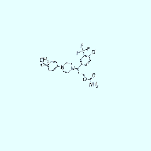 COc1ccc(N2CCN(C(CCOC(N)=O)c3ccc(Cl)c(C(F)(F)F)c3)CC2)cc1